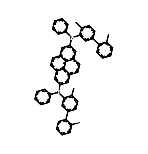 Cc1ccccc1-c1ccc(C)c(N(c2ccccc2)c2cc3ccc4cc(N(c5ccccc5)c5cc(-c6ccccc6C)ccc5C)cc5ccc(c2)c3c45)c1